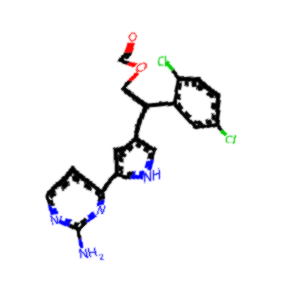 Nc1nccc(-c2cc(C(COC=O)c3cc(Cl)ccc3Cl)c[nH]2)n1